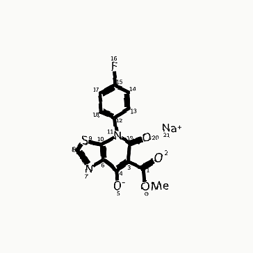 COC(=O)c1c([O-])c2ncsc2n(-c2ccc(F)cc2)c1=O.[Na+]